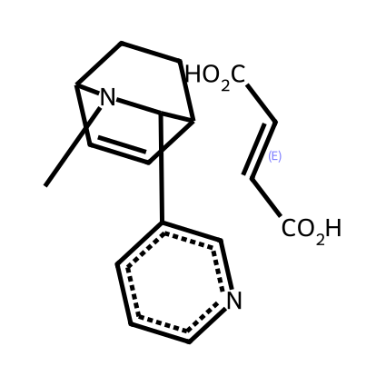 CN1C2C=CC(CC2)C1c1cccnc1.O=C(O)/C=C/C(=O)O